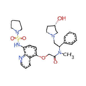 CN(C(=O)COc1ccc(NS(=O)(=O)N2CCCC2)c2ncccc12)C(CN1CC[C@H](O)C1)c1ccccc1